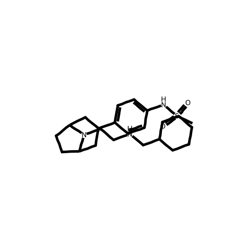 CS(=O)(=O)Nc1ccc(C2CC3CCC(C2)N3CCNCC2CCCCC2)cc1